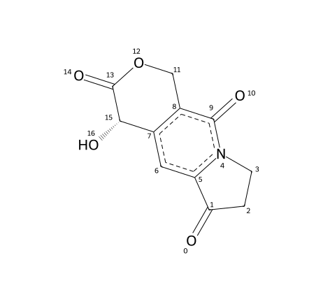 O=C1CCn2c1cc1c(c2=O)COC(=O)[C@H]1O